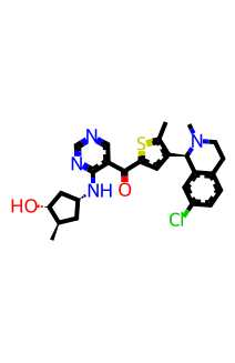 Cc1sc(C(=O)c2cncnc2N[C@@H]2C[C@@H](C)[C@H](O)C2)cc1[C@@H]1c2cc(Cl)ccc2CCN1C